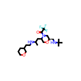 CC(CC1CO[C@H](CNC(C)(C)C)CN1C(=O)C(F)(F)F)NCCC1CCCOC1